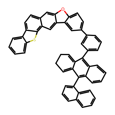 C1=c2c(-c3cccc(-c4ccc5oc6cc7ccc8c9ccccc9sc8c7cc6c5c4)c3)c3ccccc3c(-c3cccc4ccccc34)c2=CCC1